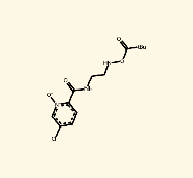 CC(C)(C)C(=O)ONCCNC(=O)c1ccc(Cl)c[n+]1[O-]